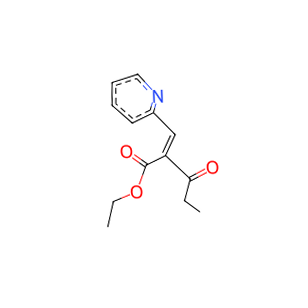 CCOC(=O)C(=Cc1ccccn1)C(=O)CC